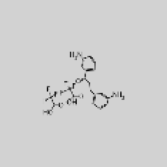 Nc1cccc(CCC(=O)c2cccc(N)c2)c1.O=C(O)C(F)(F)F.O=C(O)C(F)(F)F